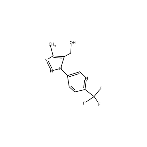 Cc1nnn(-c2ccc(C(F)(F)F)nc2)c1CO